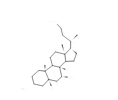 CO[C@@H]1CC[C@@]2(C)[C@@H](C1)C[C@H](O)[C@@H]1[C@@H]2CC[C@]2(C)[C@@H]([C@H](C)CCC(=O)O)CC[C@@H]12